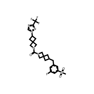 CS(=O)(=O)c1cc(F)cc(CC2CC3(C2)CN(C(=O)N2CC4(CC(n5cnc(C(F)(F)F)n5)C4)C2)C3)c1